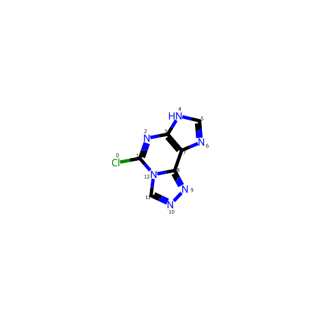 Clc1nc2[nH]cnc2c2nncn12